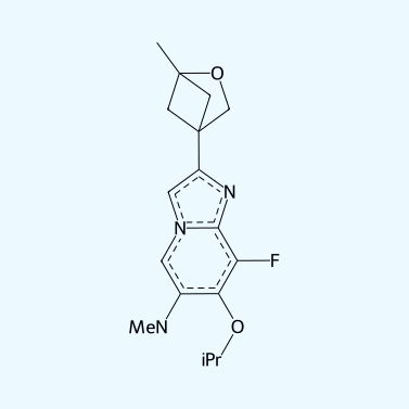 CNc1cn2cc(C34COC(C)(C3)C4)nc2c(F)c1OC(C)C